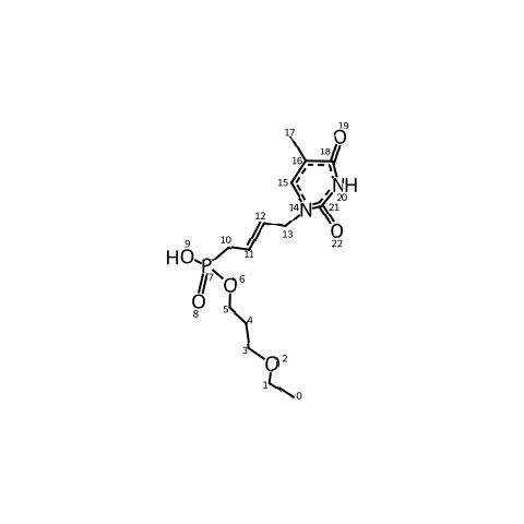 CCOCCCOP(=O)(O)C/C=C/Cn1cc(C)c(=O)[nH]c1=O